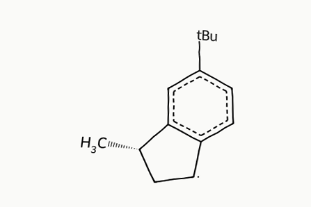 C[C@H]1C[CH]c2ccc(C(C)(C)C)cc21